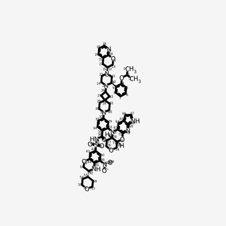 CC(C)Oc1ccccc1[C@@H]1CN([C@@H]2COc3ncccc3C2)CCN1C1CC2(CCN(c3ccc(C(=O)NS(=O)(=O)c4cc5c(c([N+](=O)[O-])c4)N[C@H](C4CCOCC4)CO5)c(N4c5cc6cc[nH]c6nc5O[C@H]5COCC[C@@H]54)c3)CC2)C1